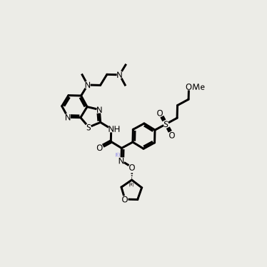 COCCCS(=O)(=O)c1ccc(/C(=N\O[C@@H]2CCOC2)C(=O)Nc2nc3c(N(C)CCN(C)C)ccnc3s2)cc1